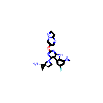 CNc1cc(F)cc2c1[nH]c1nc(Oc3cnc4ccnn4c3)nc(N3CC[C@]4(C[C@@H]4N)C3)c12